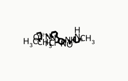 C[C@H]1CC[C@H](C(=O)Nc2cc(-c3cccc(NC[C@H]4CCOC(C)(C)C4)n3)c(Cl)cn2)CN1